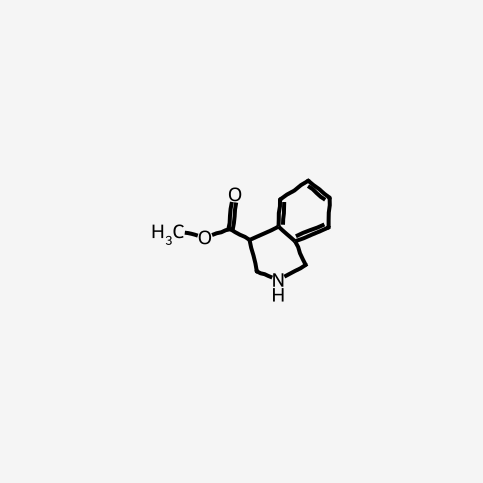 COC(=O)C1CNCc2ccccc21